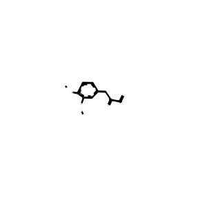 COc1ccc(CC(=O)C(=O)O)cc1OC